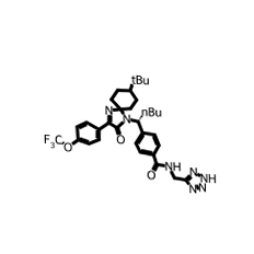 CCCC[C@H](c1ccc(C(=O)NCc2nn[nH]n2)cc1)N1C(=O)C(c2ccc(OC(F)(F)F)cc2)=NC12CCC(C(C)(C)C)CC2